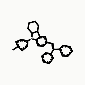 Cc1ccc(N2c3ccc(C=C(c4ccccc4)c4ccccc4)cc3C3CCCCC32)cc1